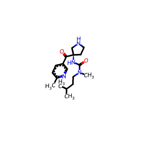 Cc1ccc(C(=O)[C@@]2(NC(=O)N(C)CCC(C)C)CCNC2)cn1